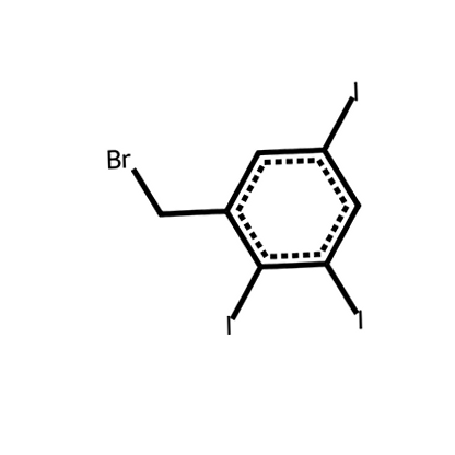 BrCc1cc(I)cc(I)c1I